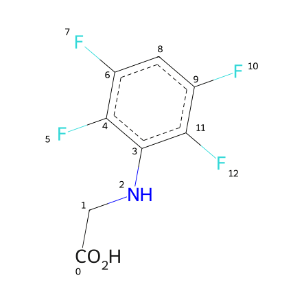 O=C(O)CNc1c(F)c(F)cc(F)c1F